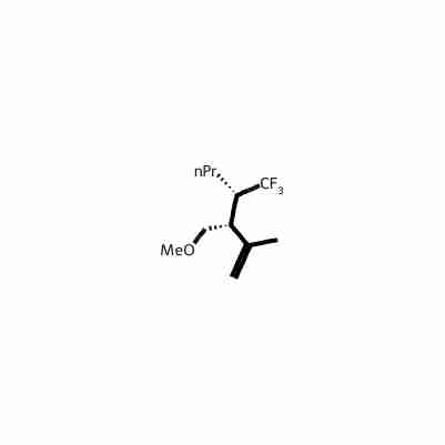 C=C(C)[C@H](COC)[C@H](CCC)C(F)(F)F